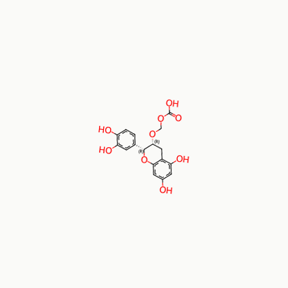 O=C(O)OCO[C@@H]1Cc2c(O)cc(O)cc2O[C@@H]1c1ccc(O)c(O)c1